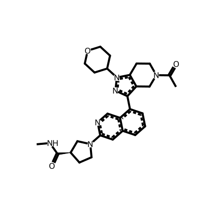 CNC(=O)[C@@H]1CCN(c2cc3cccc(-c4nn(C5CCOCC5)c5c4CN(C(C)=O)CC5)c3cn2)C1